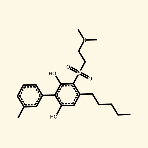 CCCCCc1cc(O)c(-c2cccc(C)c2)c(O)c1S(=O)(=O)CCN(C)C